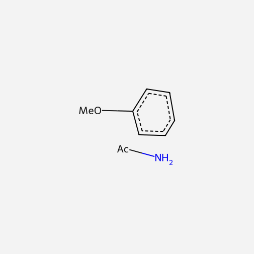 CC(N)=O.COc1ccccc1